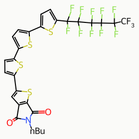 CCCCN1C(=O)c2cc(-c3ccc(-c4ccc(-c5ccc(C(F)(F)C(F)(F)C(F)(F)C(F)(F)C(F)(F)C(F)(F)F)s5)s4)s3)sc2C1=O